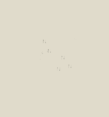 c1ccc(-c2nc(-c3ccccc3)nc(-c3cccc4sc5ccc(-c6nc(-c7ccccc7)c7ccccc7n6)cc5c34)n2)cc1